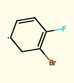 FC1=C(Br)C[CH]C=C1